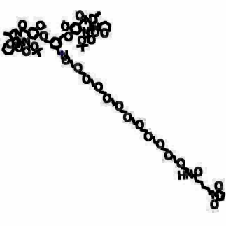 C=C1C[C@H]2[C@H](OC3CCCCO3)N(C(=O)OC(C)(C)C)c3cc(OCc4cc(/C=N/OCCOCCOCCOCCOCCOCCOCCOCCOCCOCCOCCOCCNC(=O)CCCCCN5C(=O)C=CC5=O)cc(COc5cc6c(cc5OC)C(=O)N5CC(=C)C[C@H]5[C@H](OC5CCCCO5)N6C(=O)OC(C)(C)C)c4)c(OC)cc3C(=O)N2C1